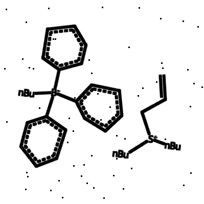 C=CC[S+](CCCC)CCCC.CCCC[B-](c1ccccc1)(c1ccccc1)c1ccccc1